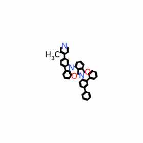 Cc1cnccc1-c1ccc2c3ccccc3n(-c3cccc4c3C(=O)N(c3ccc(-c5ccccc5)cc3-c3ccccc3)C4=O)c2c1